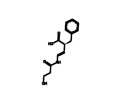 O=C(CCO)N/C=C/[C@@H](Cc1ccccc1)C(=O)O